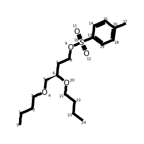 CCCCOC[C@@H](CCOS(=O)(=O)c1ccc(C)cc1)OCCCC